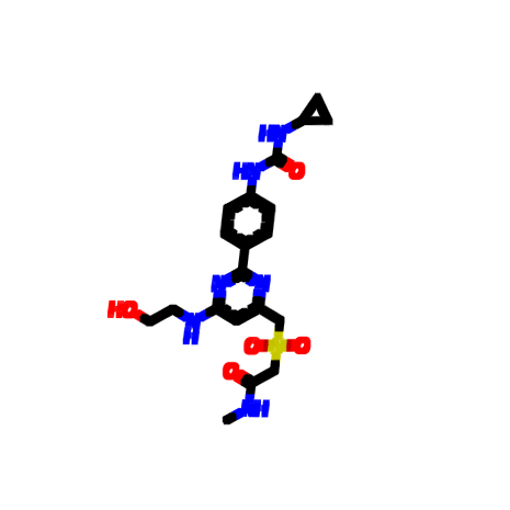 CNC(=O)CS(=O)(=O)Cc1cc(NCCO)nc(-c2ccc(NC(=O)NC3CC3)cc2)n1